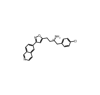 N[C@H](CCc1cc(-c2ccc3cnccc3c2)no1)Cc1ccc(Cl)cc1